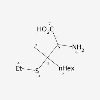 CCCCCCC(C)(SCC)C(N)C(=O)O